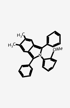 COc1ccccc1-n1c(-c2ccccc2)c2cc(C)c(C)cc2c1-c1ccccc1